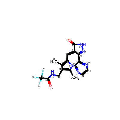 Cc1[nH]c(/C=C2/C(=O)NN=C2c2cnccn2)c(C)c1CNC(=O)C(F)(F)F